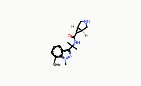 CSc1cccc2c(C(C)(C)NC(=O)C3[C@H]4CNC[C@@H]34)nn(C)c12